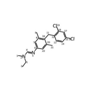 CCN(C)C=Nc1cc(C)c(Cc2ccc(Cl)cc2Cl)c(C)c1